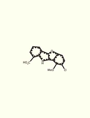 COc1c(Cl)ccc2oc3c4cccc(C(=O)O)c4[nH]c3c12